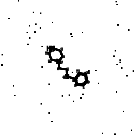 c1ccc([N]CCN2CCNCC2)cc1